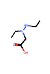 CCNN(CC)CC(=O)O